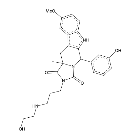 COc1ccc2[nH]c3c(c2c1)CC1(C)C(=O)N(CCCNCCO)C(=O)N1C3c1cccc(O)c1